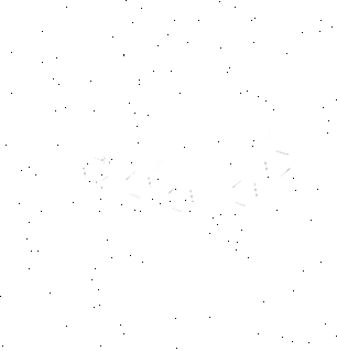 CCCCCc1cnc(-c2ccc(-c3ccc(C(F)(F)Oc4cc(F)c(-c5ccc(F)c(F)c5)c(F)c4)cc3)c(F)c2)nc1